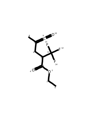 CCOC(=O)C(CC(C)=C=O)C(F)(F)F